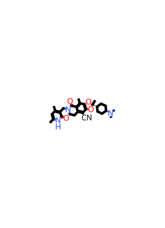 Cc1cc(C)c(CN2CCc3c(C#N)c4c(c(C)c3C2=O)OC(C)([C@H]2CC[C@H](N(C)C)CC2)O4)c(=O)[nH]1